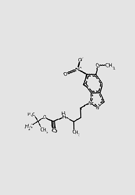 COc1cc2cnn(CCC(C)NC(=O)OC(C)(C)C)c2cc1[N+](=O)[O-]